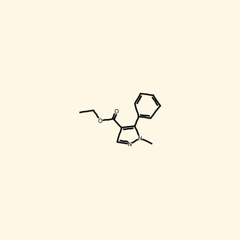 CCOC(=O)c1cnn(C)c1-c1ccccc1